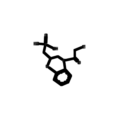 O=C(CCl)N1CC(CP(=O)(O)O)Oc2ccccc21